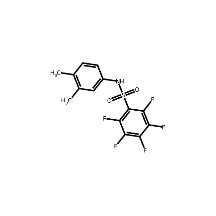 Cc1ccc(NS(=O)(=O)c2c(F)c(F)c(F)c(F)c2F)cc1C